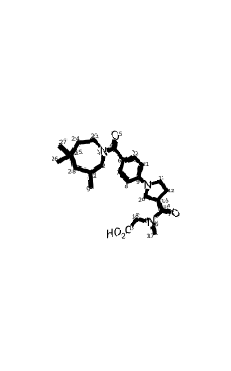 CC1CN(C(=O)c2ccc(N3CCC(C(=O)N(C)CC(=O)O)C3)cc2)CCC(C)(C)C1